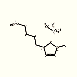 CCCCCCCCCCCCCCN1C=CN(C)C1.O=S(=O)([O-])O.[H+]